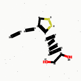 C1=CSSC1.C=C.C=C.C=C.C=C.C=C.C=C.OCCO